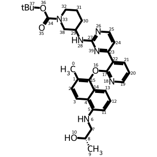 Cc1ccc2c(NC[C@H](C)O)cccc2c1Oc1ncccc1-c1ccnc(NC2CCCN(C(=O)OC(C)(C)C)C2)n1